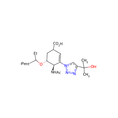 CCCC(C)C(CC)O[C@@H]1CC(C(=O)O)C=C(n2cc(C(C)(C)O)nn2)[C@H]1NC(C)=O